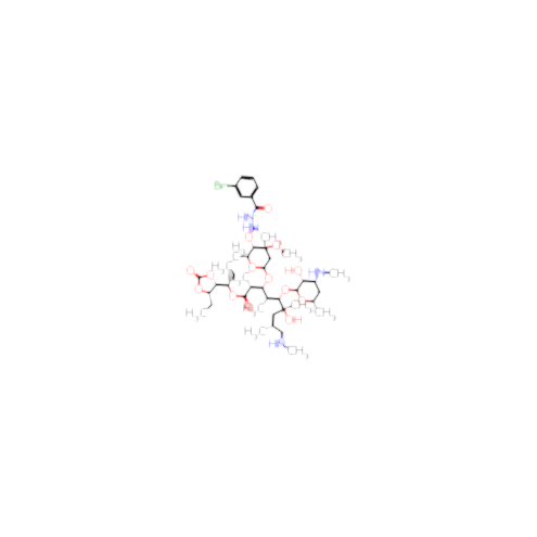 CC[C@H]1OC(=O)O[C@@H]1[C@@H](CC)OC(=O)[C@H](C)[C@@H](OC1C[C@@](C)(OC)[C@@H](ONNC(=O)c2cccc(Br)c2)[C@H](C)O1)[C@H](C)[C@@H](OC1O[C@H](C)C[C@H](NC)[C@H]1O)[C@](C)(O)C[C@@H](C)CNC